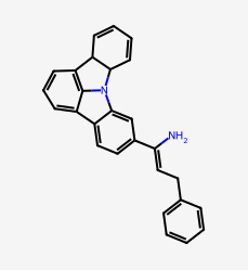 N/C(=C\Cc1ccccc1)c1ccc2c3cccc4c3n(c2c1)C1C=CC=CC41